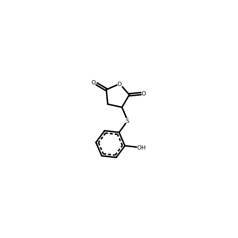 O=C1CC(Sc2ccccc2O)C(=O)O1